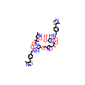 Cc1cc(C(C)(C)C(=O)N2C[C@H](OCc3cc([C@H](C)C(=O)N4C[C@H](O)C[C@H]4C(=O)NCc4ccc(-c5scnc5C)cc4)on3)C[C@H]2C(=O)NCc2ccc(-c3scnc3C)cc2)on1